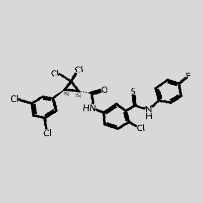 O=C(Nc1ccc(Cl)c(C(=S)Nc2ccc(F)cc2)c1)[C@@H]1[C@@H](c2cc(Cl)cc(Cl)c2)C1(Cl)Cl